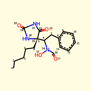 CCCCC[C@@]1(C(Cc2ccccc2)N(O)C=O)NC(=O)NC1=O